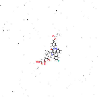 CCC(=O)OCc1ccc(NC(=O)c2c(-c3ccccc3)c(-c3ccc(F)cc3)n(CC[C@@H](O)C[C@@H](O)CC(=O)O)c2C(C)C)cc1